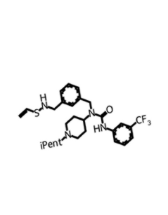 C=CSNCc1cccc(CN(C(=O)Nc2cccc(C(F)(F)F)c2)C2CCN(C(C)CCC)CC2)c1